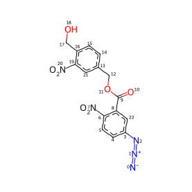 [N-]=[N+]=Nc1ccc([N+](=O)[O-])c(C(=O)OCc2ccc(CO)c([N+](=O)[O-])c2)c1